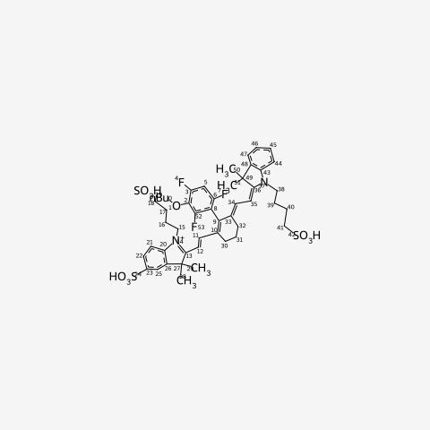 CCCCOc1c(F)cc(F)c(C2=C(/C=C/C3=[N+](CCCCS(=O)(=O)O)c4ccc(S(=O)(=O)O)cc4C3(C)C)CCC/C2=C\C=C2\N(CCCCS(=O)(=O)O)c3ccccc3C2(C)C)c1F